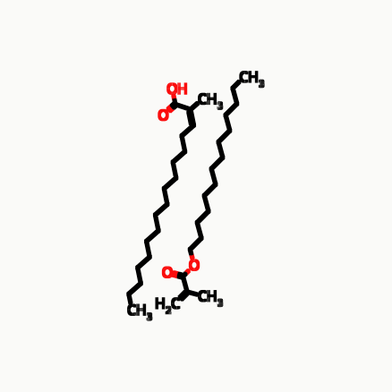 C=C(C)C(=O)OCCCCCCCCCCCCCC.CCCCCCCCCCCCCCC=C(C)C(=O)O